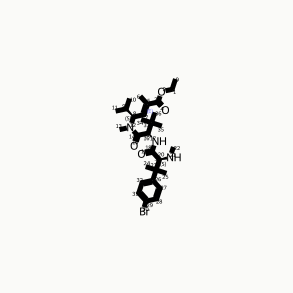 CCOC(=O)/C(C)=C/[C@H](C(C)C)N(C)C(=O)[C@@H](NC(=O)[C@@H](NC)C(C)(C)c1ccc(Br)cc1)C(C)(C)C